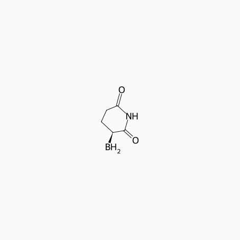 B[C@H]1CCC(=O)NC1=O